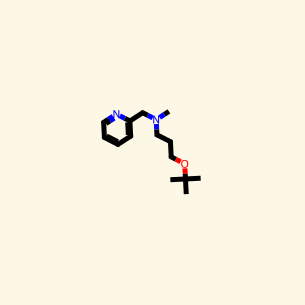 CN(CCCOC(C)(C)C)Cc1ccccn1